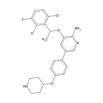 CC(Oc1cc(-c2ccc(OC3CCNCC3)cc2)cnc1N)c1c(Cl)ccc(F)c1Cl